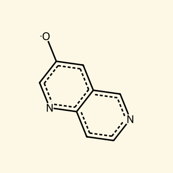 [O]c1cnc2ccncc2c1